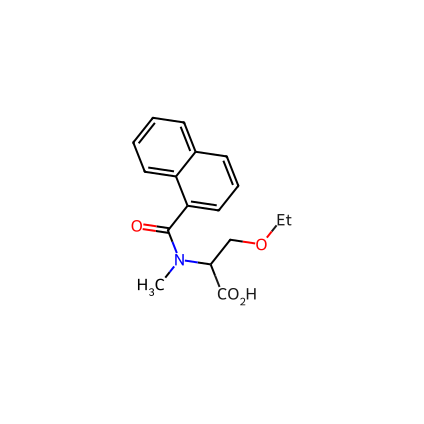 CCOCC(C(=O)O)N(C)C(=O)c1cccc2ccccc12